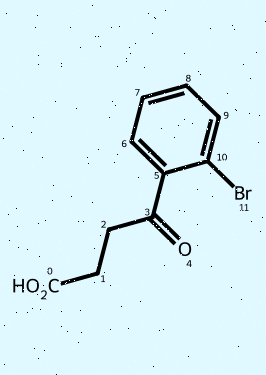 O=C(O)CCC(=O)c1ccccc1Br